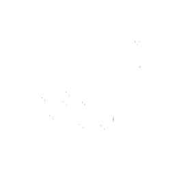 COc1ccc(COc2cc(NC(=O)NC(C)c3ncnn3-c3ncccn3)c(Cl)cc2Cl)cc1F